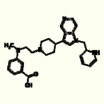 CN(CCN1CCC(c2cn(CC3C=CC=CN3)c3ccncc23)CC1)c1cccc(C(=O)O)c1